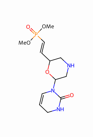 COP(=O)(/C=C/C1CNCC(N2C=CCNC2=O)O1)OC